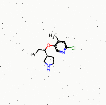 Cc1cc(Cl)ncc1OC(CC(C)C)[C@H]1CCNC1